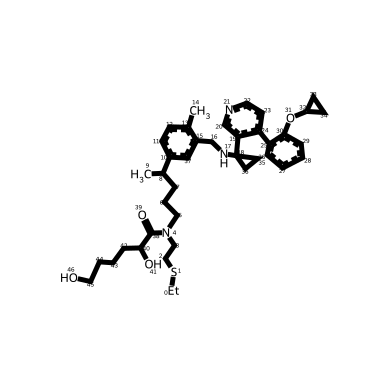 CCSCCN(CCCC(C)c1ccc(C)c(CNC2(c3cnccc3-c3ccccc3OC3CC3)CC2)c1)C(=O)C(O)CCCCO